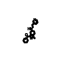 Cn1nc(C(=O)N2CCCCC2)c2c1CCC(NCCc1cccnc1)C2